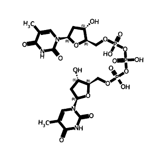 Cc1cn([C@H]2C[C@H](O)[C@@H](COP(=O)(O)OP(=O)(O)OP(=O)(O)OC[C@H]3O[C@@H](n4cc(C)c(=O)[nH]c4=O)C[C@@H]3O)O2)c(=O)[nH]c1=O